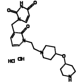 Cl.Cl.O=c1ccn(Cc2cccn(CCN3CCC(OC4CCNCC4)CC3)c2=O)c(=O)[nH]1